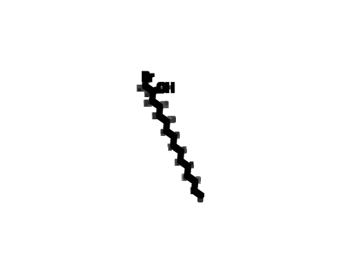 CCCCCCCCCCCCCCC(O)CBr